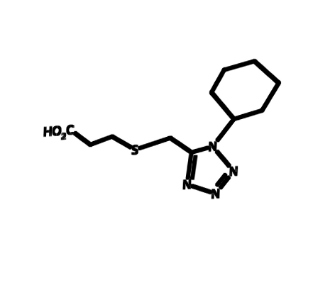 O=C(O)CCSCc1nnnn1C1CCCCC1